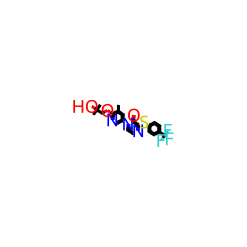 Cc1cc(-n2ccnc(Sc3ccc(C(F)(F)F)cc3)c2=O)cnc1OCC(C)(C)O